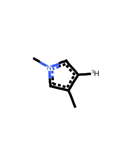 [3H]c1cn(C)cc1C